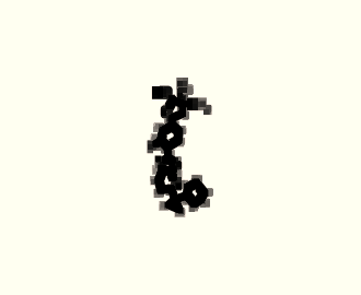 C[C@](N)(CCc1ccc(-c2nc3ccc(C4(c5ccccc5)CC4)nc3s2)c(F)c1)C(=O)O